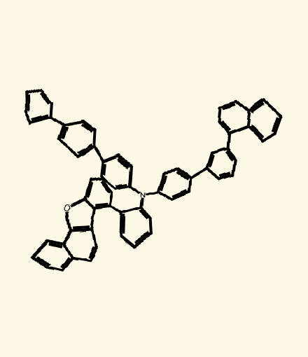 c1ccc(-c2ccc(-c3ccc(N(c4ccc(-c5cccc(-c6cccc7ccccc67)c5)cc4)c4ccccc4-c4cccc5oc6c7ccccc7ccc6c45)cc3)cc2)cc1